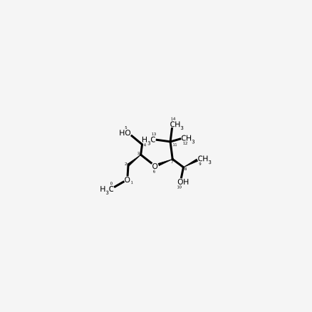 COC[C@@H](CO)O[C@H]([C@@H](C)O)C(C)(C)C